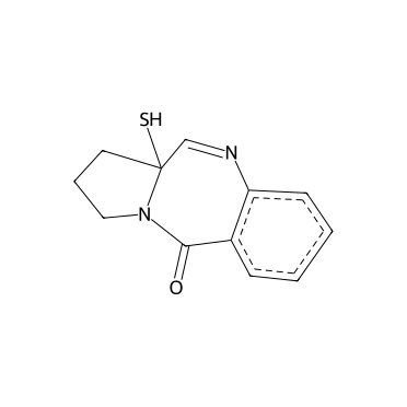 O=C1c2ccccc2N=CC2(S)CCCN12